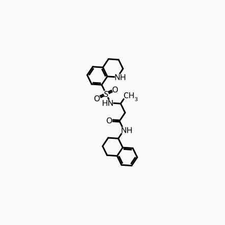 CC(CC(=O)NC1CCCc2ccccc21)NS(=O)(=O)c1cccc2c1NCCC2